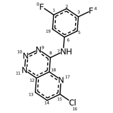 Fc1cc(F)cc(Nc2nnnc3ccc(Cl)nc23)c1